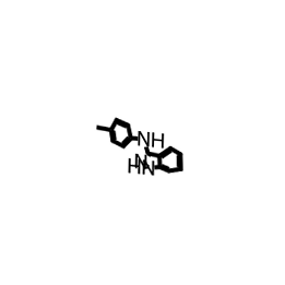 Cc1ccc(Nc2n[nH]c3ccccc23)cc1